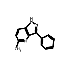 Cc1ccc2[nH]nc(-c3ccccc3)c2n1